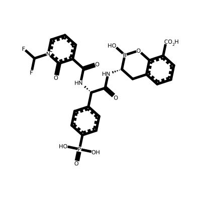 O=C(O)c1cccc2c1OB(O)[C@@H](NC(=O)[C@@H](NC(=O)c1cccn(C(F)F)c1=O)c1ccc(P(=O)(O)O)cc1)C2